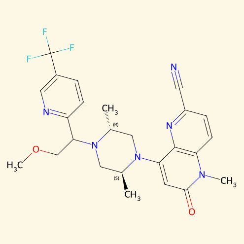 COCC(c1ccc(C(F)(F)F)cn1)N1C[C@H](C)N(c2cc(=O)n(C)c3ccc(C#N)nc23)C[C@H]1C